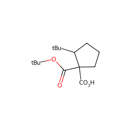 CC(C)(C)OC(=O)C1(C(=O)O)CCCC1C(C)(C)C